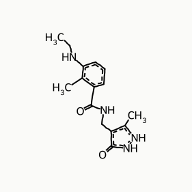 CCNc1cccc(C(=O)NCc2c(C)[nH][nH]c2=O)c1C